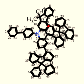 CC1(C)c2ccccc2-c2ccc(N(c3ccc(-c4ccccc4)cc3)c3ccc(-c4cccc5c4-c4ccccc4C5(c4ccccc4)c4ccccc4)cc3-c3cccc4c3-c3ccccc3C43c4ccccc4-c4ccccc43)cc21